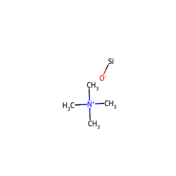 C[N+](C)(C)C.[O-][Si]